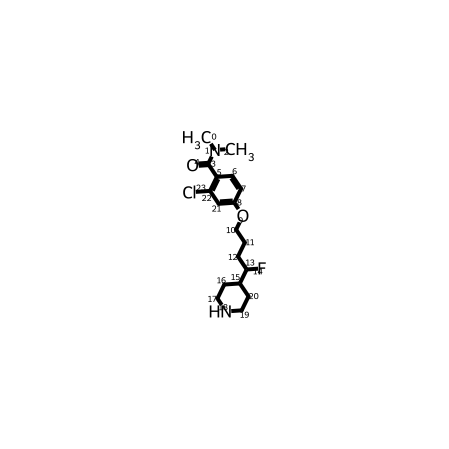 CN(C)C(=O)c1ccc(OCCCC(F)C2CCNCC2)cc1Cl